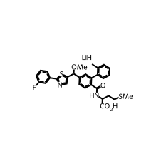 COC(c1ccc(C(=O)NC(CCSC)C(=O)O)c(-c2ccccc2C)c1)c1cnc(-c2cccc(F)c2)s1.[LiH]